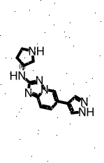 c1cc2nc(N[C@@H]3CCNC3)nn2cc1-c1cn[nH]c1